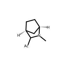 CC(=O)C1[C@H]2CC[C@H](C2)N1C